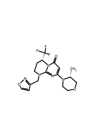 C[C@@H]1COCCN1c1cc(=O)n2c(n1)N(Cc1ccon1)CC[C@@H]2C(F)(F)F